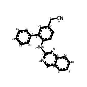 N#CCc1ccc(Nc2ncc3ccccc3n2)c(-c2ccccc2)c1